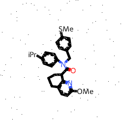 COc1ccc2c(n1)C(C(=O)N(Cc1ccc(SC)cc1)c1ccc(C(C)C)cc1)CCC2